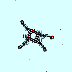 O=C(COc1cccc(C2c3cc(c(O)cc3O)C(c3cccc(OCC(=O)OCOCC45CC6CC(CC(C6)C4)C5)c3)c3cc(c(O)cc3O)C(c3cccc(OCC(=O)OCOCC45CC6CC(CC(C6)C4)C5)c3)c3cc(c(O)cc3O)C(c3cccc(OCC(=O)OCOCC45CC6CC(CC(C6)C4)C5)c3)c3cc2c(O)cc3O)c1)OCOCCC1C2CC3CC(C2)CC1C3